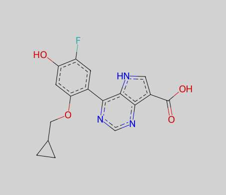 O=C(O)c1c[nH]c2c(-c3cc(F)c(O)cc3OCC3CC3)ncnc12